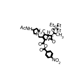 CC[Si](CC)(CC)OC(C)[C@H]1C(=O)N2C(C(=O)OC(=O)c3ccc([N+](=O)[O-])cc3)=C(CN3CC[C@H](NC(C)=O)C3)[C@H](C)[C@H]12